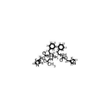 CC(C)CCN(C[C@H](Cc1ccccc1)NC(=O)OCc1cncs1)C[C@H](Cc1ccccc1)NC(=O)OCc1cncs1